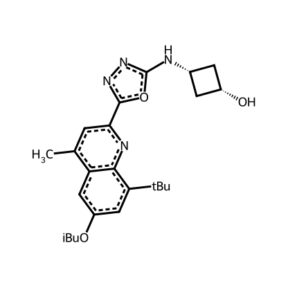 Cc1cc(-c2nnc(N[C@H]3C[C@@H](O)C3)o2)nc2c(C(C)(C)C)cc(OCC(C)C)cc12